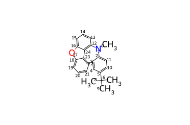 CN(c1ccc(C(C)(C)C)cc1)c1cccc2oc3ccccc3c12